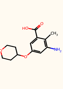 Cc1c(N)cc(OC2CCOCC2)cc1C(=O)O